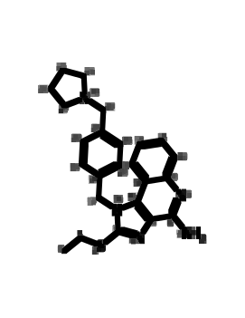 CCSc1nc2c(N)nc3ccccc3c2n1Cc1ccc(CN2CCCC2)cc1